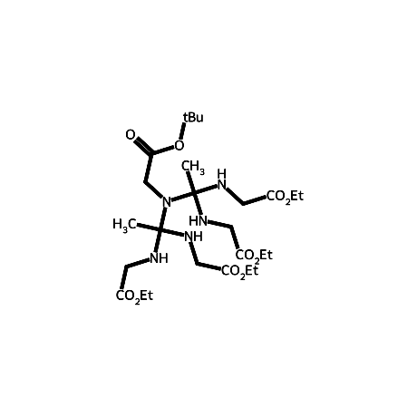 CCOC(=O)CNC(C)(NCC(=O)OCC)N(CC(=O)OC(C)(C)C)C(C)(NCC(=O)OCC)NCC(=O)OCC